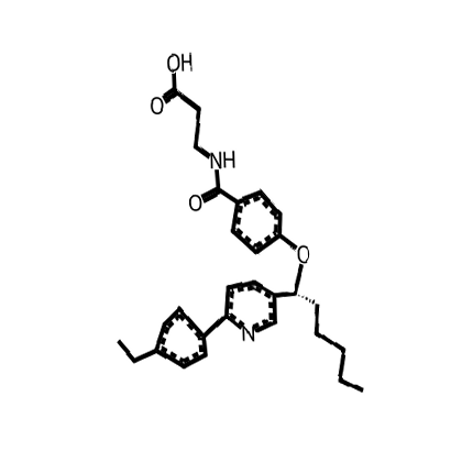 CCCCC[C@@H](Oc1ccc(C(=O)NCCC(=O)O)cc1)c1ccc(-c2ccc(CC)cc2)nc1